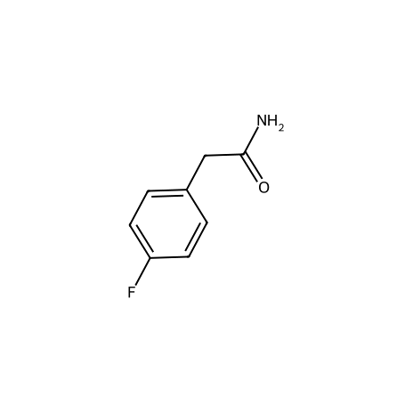 NC(=O)Cc1ccc(F)cc1